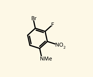 CNc1ccc(Br)c(F)c1[N+](=O)[O-]